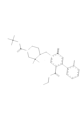 CCOC(=O)c1cn(C[C@]2(O)CCN(C(=O)OC(C)(C)C)CC2(C)C)c(=O)cc1-c1ccccc1F